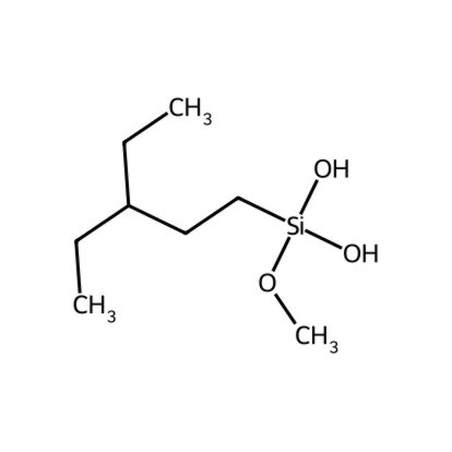 CCC(CC)CC[Si](O)(O)OC